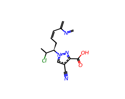 C=NC(=C)/C=C\C[C@H](C(C)Cl)n1cc(C#N)c(C(=O)O)n1